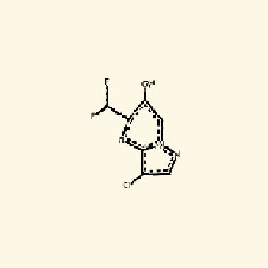 Oc1cn2ncc(Cl)c2nc1C(F)F